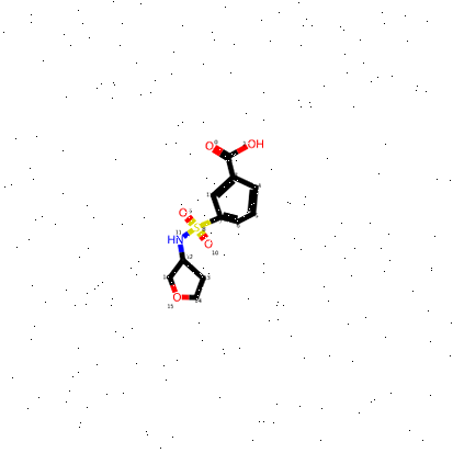 O=C(O)c1cccc(S(=O)(=O)NC2CCOC2)c1